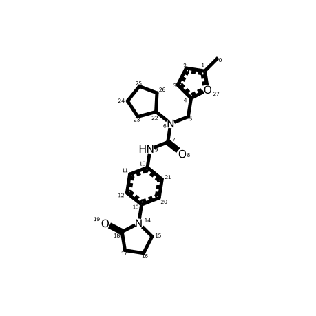 Cc1ccc(CN(C(=O)Nc2ccc(N3CCCC3=O)cc2)C2CCCC2)o1